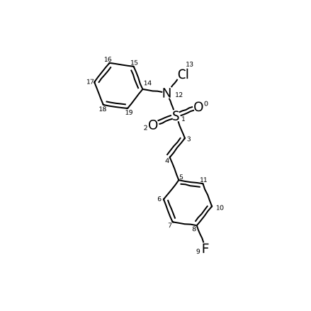 O=S(=O)(C=Cc1ccc(F)cc1)N(Cl)c1ccccc1